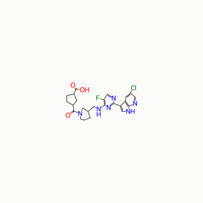 O=C(O)C1CCC(C(=O)N2CCCC(CNc3nc(-c4c[nH]c5ncc(Cl)cc45)ncc3F)C2)C1